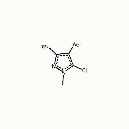 CC(=O)c1c(C(C)C)nn(C)c1Cl